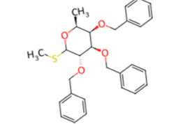 CSC1O[C@@H](C)[C@@H](OCc2ccccc2)[C@@H](OCc2ccccc2)[C@@H]1OCc1ccccc1